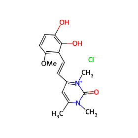 COc1ccc(O)c(O)c1C=Cc1cc(C)n(C)c(=O)[n+]1C.[Cl-]